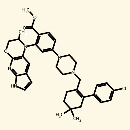 COC(=O)c1ccc(N2CCN(CC3=C(c4ccc(Cl)cc4)CC(C)(C)CC3)CC2)cc1N1c2cc3cc[nH]c3nc2OCC1C